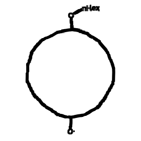 [CH2]CCCCCOC1CCCCCCCCC([O])CCCCCCCC1